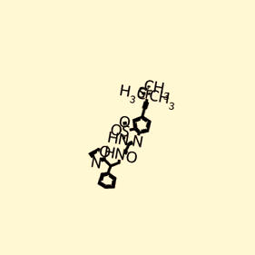 C[Si](C)(C)C#Cc1ccc2c(c1)S(=O)(=O)NC(C(=O)NCC(c1ccccc1)c1ncco1)=N2